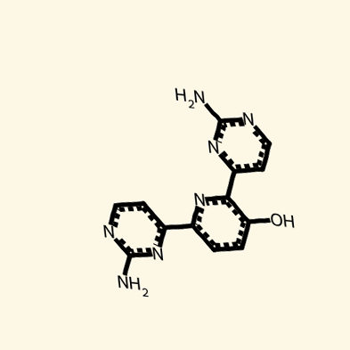 Nc1nccc(-c2ccc(O)c(-c3ccnc(N)n3)n2)n1